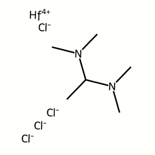 CC(N(C)C)N(C)C.[Cl-].[Cl-].[Cl-].[Cl-].[Hf+4]